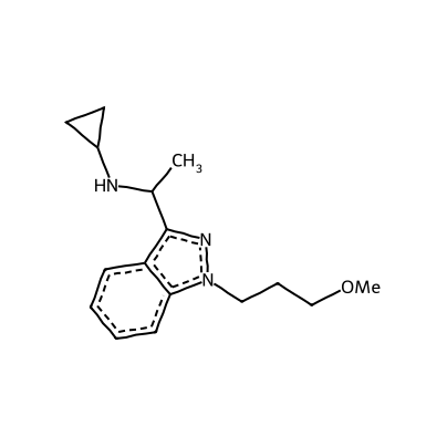 COCCCn1nc(C(C)NC2CC2)c2ccccc21